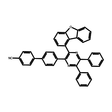 N#Cc1ccc(-c2ccc(-c3nc(-c4ccccc4)c(-c4ccccc4)nc3-c3cccc4oc5ccccc5c34)cc2)cc1